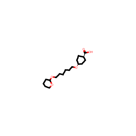 O=C(O)[C@H]1CC[C@H](OCCCCCCOC2CCCCO2)CC1